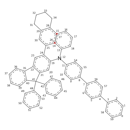 c1ccc(-c2ccc(-c3ccc(N(c4ccccc4)c4cc5c(cc4-c4ccc6c(c4)CCCC6)-c4ccccc4C5(c4ccccc4)c4ccccc4)cc3)cc2)cc1